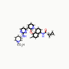 Cc1ccc2c(NC(=O)[C@H]3CC34CC4)cccc2c1Oc1ncccc1-c1ccnc(N[C@H]2CCCN(C(=O)O)C2)n1